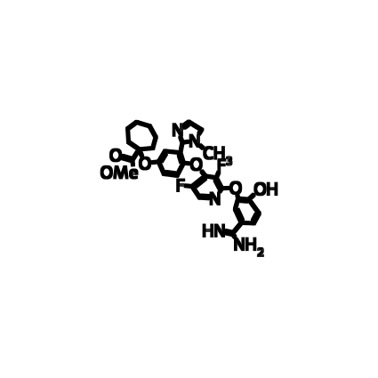 COC(=O)C1(Oc2ccc(Oc3c(F)cnc(Oc4cc(C(=N)N)ccc4O)c3F)c(C3N=CCN3C)c2)CCCCCC1